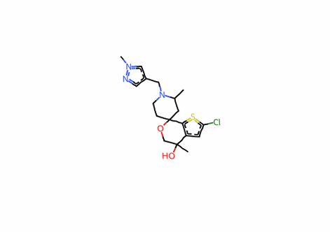 CC1CC2(CCN1Cc1cnn(C)c1)OCC(C)(O)c1cc(Cl)sc12